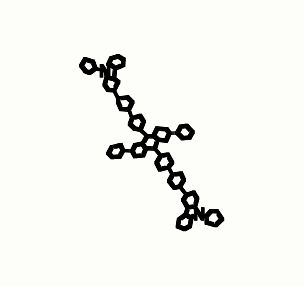 c1ccc(-c2ccc3c(-c4ccc(-c5ccc(-c6ccc7c(c6)c6ccccc6n7-c6ccccc6)cc5)cc4)c4cc(-c5ccccc5)ccc4c(-c4ccc(-c5ccc(-c6ccc7c(c6)c6ccccc6n7-c6ccccc6)cc5)cc4)c3c2)cc1